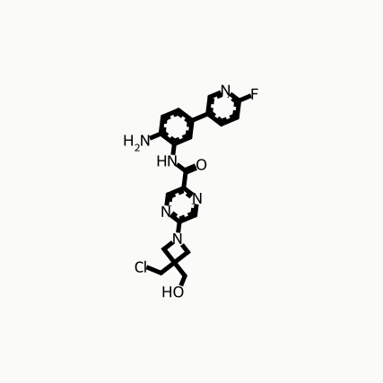 Nc1ccc(-c2ccc(F)nc2)cc1NC(=O)c1cnc(N2CC(CO)(CCl)C2)cn1